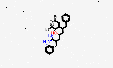 CCC(CC)CC(CC(CC)CC)C(Cc1ccccc1)CC(O)CC(Cc1ccccc1)C(N)N